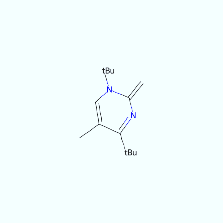 C=C1N=C(C(C)(C)C)C(C)=CN1C(C)(C)C